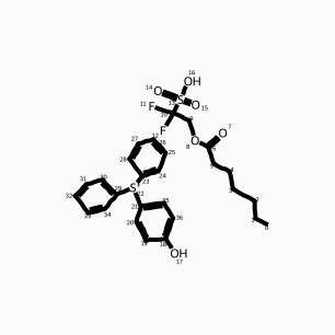 CCCCCCC(=O)OCC(F)(F)S(=O)(=O)O.Oc1ccc([S+](c2ccccc2)c2ccccc2)cc1